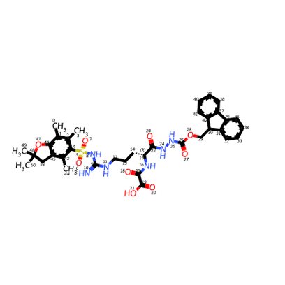 Cc1c(C)c(S(=O)(=O)NC(=N)NCCC[C@@H](NC(=O)C(=O)O)C(=O)NNC(=O)OCC2c3ccccc3-c3ccccc32)c(C)c2c1OC(C)(C)C2